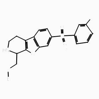 CCOCC1NCCc2c1oc1cc(S(=O)(=O)c3cccc(F)c3)ccc21